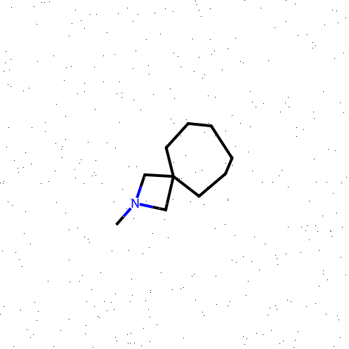 CN1CC2(CCCCCC2)C1